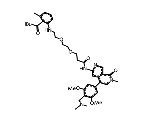 CCC(C)C(=O)c1c(C)cccc1NCCOCCOCCC(=O)Nc1cc2c(-c3cc(OC)c(CN(C)C)c(OC)c3)cn(C)c(=O)c2cn1